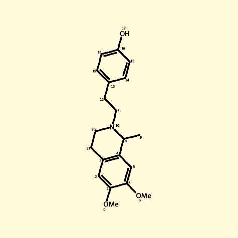 COc1cc2c(cc1OC)C(C)N(CCc1ccc(O)cc1)CC2